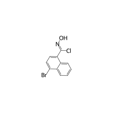 ON=C(Cl)c1ccc(Br)c2ccccc12